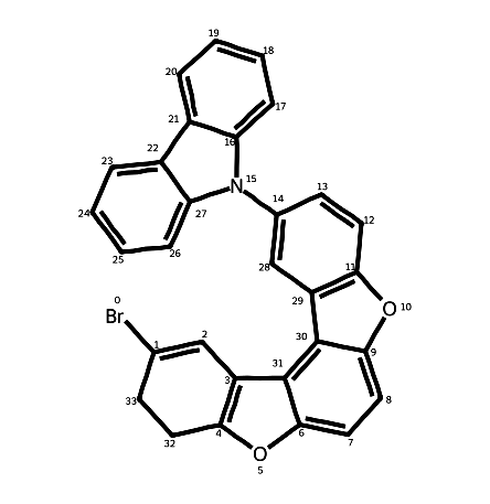 BrC1=Cc2c(oc3ccc4oc5ccc(-n6c7ccccc7c7ccccc76)cc5c4c23)CC1